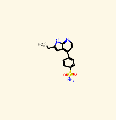 NS(=O)(=O)c1ccc(-c2ccnc3[nH]c(CC(=O)O)cc23)cc1